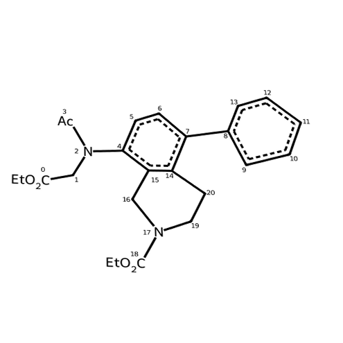 CCOC(=O)CN(C(C)=O)c1ccc(-c2ccccc2)c2c1CN(C(=O)OCC)CC2